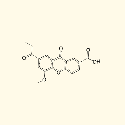 CCC(=O)c1cc(OC)c2oc3ccc(C(=O)O)cc3c(=O)c2c1